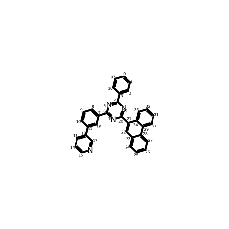 c1ccc(-c2nc(-c3cccc(-c4cccnc4)c3)nc(-c3cc4ccccc4c4ccccc34)n2)cc1